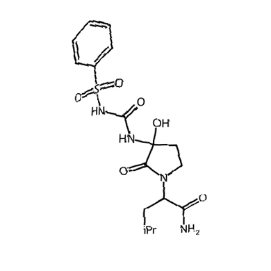 CC(C)CC(C(N)=O)N1CCC(O)(NC(=O)NS(=O)(=O)c2ccccc2)C1=O